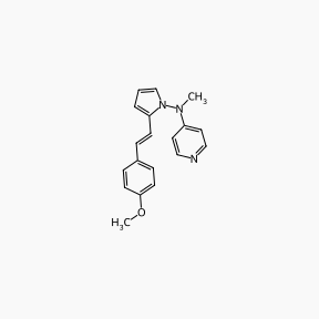 COc1ccc(C=Cc2cccn2N(C)c2ccncc2)cc1